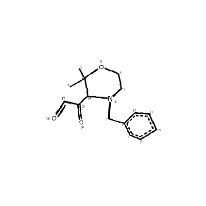 CC1(C)OCCN(Cc2ccccc2)C1C(=O)C=O